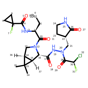 CC(C)(C)C[C@H](NC(=O)C1(F)CC1)C(=O)N1C[C@H]2[C@@H]([C@H]1C(=O)NN(C[C@@H]1CCNC1=O)C(=O)[C@H](F)Cl)C2(C)C